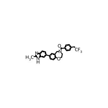 Cc1nc2ccc(-c3ccc4c(c3)CN(C(=O)c3ccc(CC(F)(F)F)cc3)CCO4)cc2[nH]1